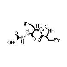 CC(C)CC(NC(=O)O)C(=O)NC(CC(C)C)C(=O)NNC(=O)C=O